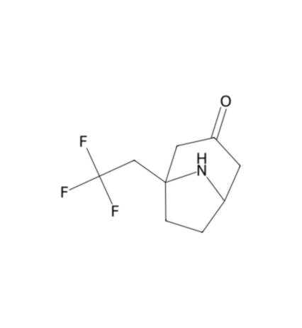 O=C1CC2CCC(CC(F)(F)F)(C1)N2